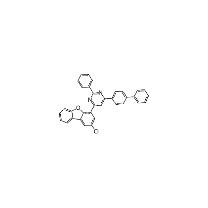 Clc1cc(-c2cc(-c3ccc(-c4ccccc4)cc3)nc(-c3ccccc3)n2)c2oc3ccccc3c2c1